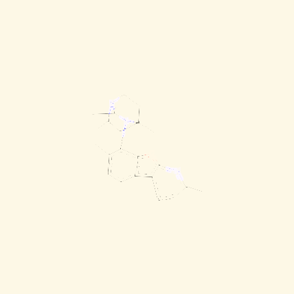 Cc1ccc2c(n1)oc1c(N3[C@@H](C)N4CCC3(C)CC4C)c(C)ccc12